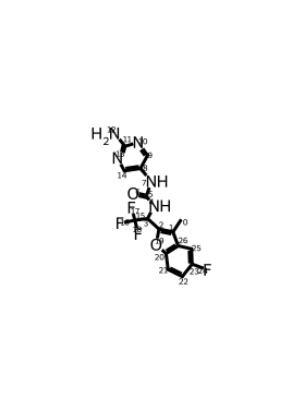 Cc1c(C(NC(=O)Nc2cnc(N)nc2)C(F)(F)F)oc2ccc(F)cc12